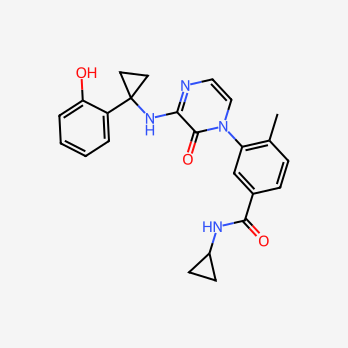 Cc1ccc(C(=O)NC2CC2)cc1-n1ccnc(NC2(c3ccccc3O)CC2)c1=O